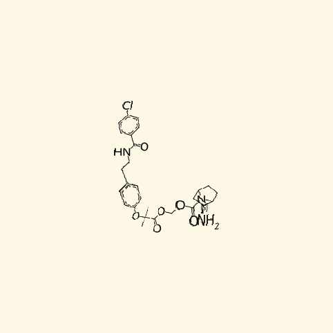 CC(C)(Oc1ccc(CCNC(=O)c2ccc(Cl)cc2)cc1)C(=O)OCOC(=O)N1C2CCC1[C@@H](N)C2